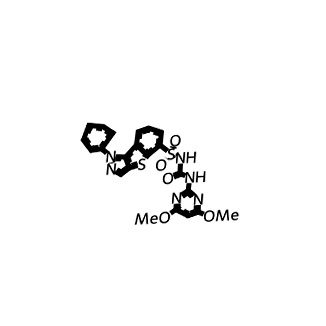 COc1cc(OC)nc(NC(=O)NS(=O)(=O)c2cccc3c2sc2cnn(-c4ccccc4)c23)n1